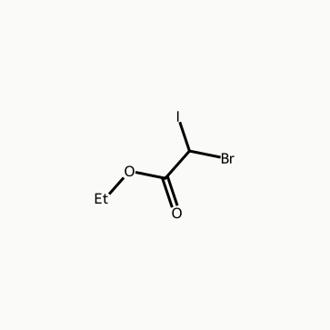 CCOC(=O)C(Br)I